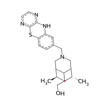 C[C@@H]1C[C@@H](C)C2CN(Cc3ccc4c(c3)Nc3nccnc3S4)CC1C2CCO